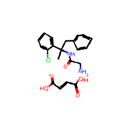 CC(Cc1ccccc1)(NC(=O)CN)c1ccccc1Cl.O=C(O)C=CC(=O)O